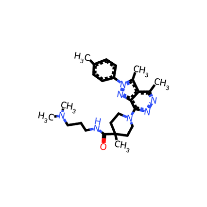 Cc1ccc(-n2nc3c(N4CCC(C)(C(=O)NCCCN(C)C)CC4)nnc(C)c3c2C)cc1